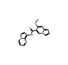 CC(C)Oc1cc2nccn2cc1C(=O)Nc1cnn2cccnc12